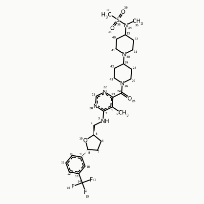 Cc1c(NC[C@H]2CC[C@H](c3cccc(C(F)(F)F)c3)O2)ncnc1C(=O)N1CCC(N2CCC(N(C)S(C)(=O)=O)CC2)CC1